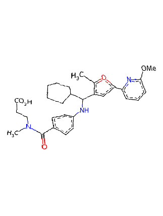 COc1cccc(-c2cc(C(Nc3ccc(C(=O)N(C)CCC(=O)O)cc3)C3CCCCC3)c(C)o2)n1